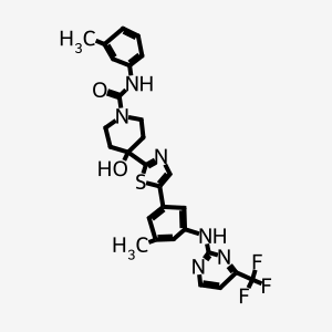 Cc1cccc(NC(=O)N2CCC(O)(c3ncc(-c4cc(C)cc(Nc5nccc(C(F)(F)F)n5)c4)s3)CC2)c1